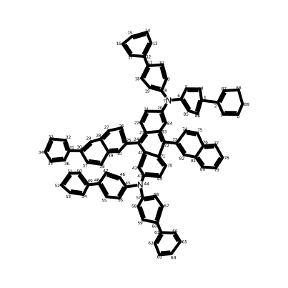 C1=CC(c2ccc(N(c3ccc(-c4ccccc4)cc3)c3ccc4c(-c5ccc6cc(-c7ccccc7)ccc6c5)c5cc(N(c6ccc(-c7ccccc7)cc6)c6ccc(-c7ccccc7)cc6)ccc5c(-c5ccc6ccccc6c5)c4c3)cc2)=CCC1